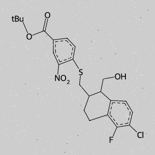 CC(C)(C)OC(=O)c1ccc(SCC2CCc3c(ccc(Cl)c3F)C2CO)c([N+](=O)[O-])c1